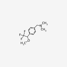 COC(c1ccc(CN(C)C)cc1)C(F)(F)F